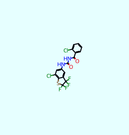 O=C(NC(=O)c1ccccc1Cl)Nc1cc(Cl)c2c(c1)C(F)(F)C(F)(F)S2